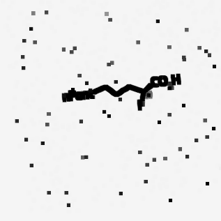 CCCCCCCC[C@H](F)C(=O)O